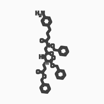 Nc1ccc(CCCC(=O)N(CC(=O)N[C@@H](CCC(=O)OCc2ccccc2)C(=O)OCc2ccccc2)OCc2ccccc2)cc1